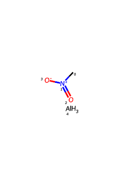 C[N+](=O)[O-].[AlH3]